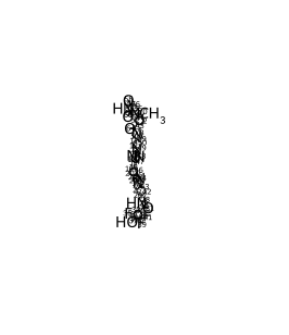 Cc1ccc(C(=O)N2CCC3(CCN(c4ncc(-c5ccc6cn([C@H]7CC[C@H](CNC(=O)c8cc(F)c(O)c(F)c8F)CC7)nc6c5)cn4)CC3)C2)cc1N1CCC(=O)NC1=O